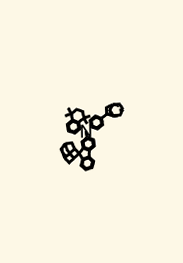 CC1(C)CCC(C)(C)c2c(N(c3ccc(C45CC6CC(CC4C6)C5)cc3)c3ccc4c(c3)C3(c5ccccc5-4)C4CC5CC6CC3C64C5)cccc21